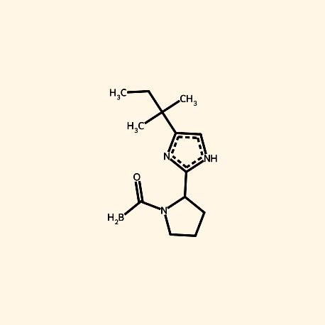 BC(=O)N1CCCC1c1nc(C(C)(C)CC)c[nH]1